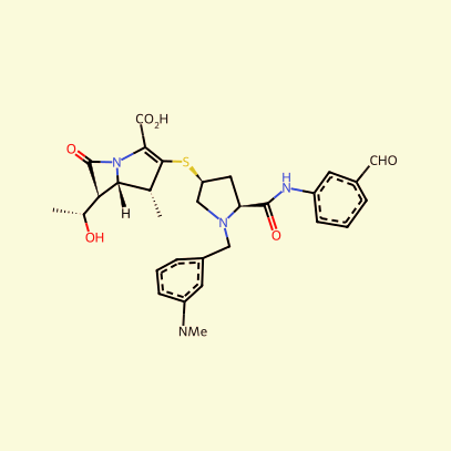 CNc1cccc(CN2C[C@@H](SC3=C(C(=O)O)N4C(=O)[C@H]([C@@H](C)O)[C@H]4[C@H]3C)C[C@H]2C(=O)Nc2cccc(C=O)c2)c1